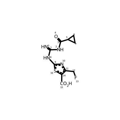 N=C(NC(=O)C1CC1)Nc1nc(CF)c(C(=O)O)s1